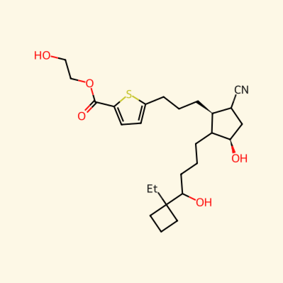 CCC1(C(O)CCCC2[C@@H](CCCc3ccc(C(=O)OCCO)s3)C(C#N)C[C@H]2O)CCC1